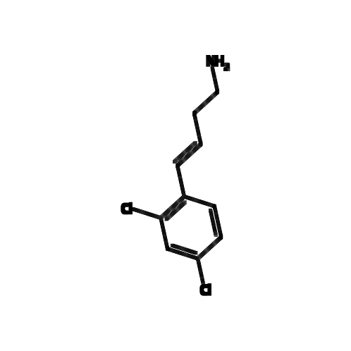 NCCC=Cc1ccc(Cl)cc1Cl